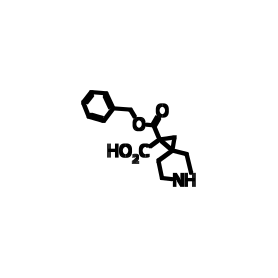 O=C(O)C1(C(=O)OCc2ccccc2)CC12CCNCC2